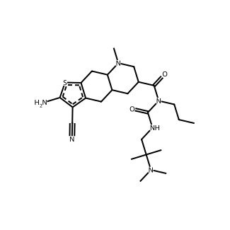 CCCN(C(=O)NCC(C)(C)N(C)C)C(=O)C1CC2Cc3c(sc(N)c3C#N)CC2N(C)C1